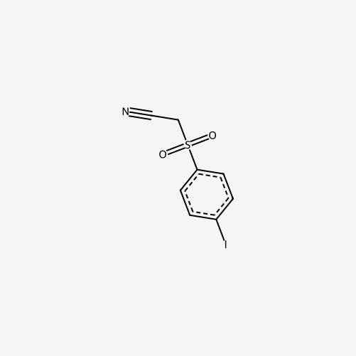 N#CCS(=O)(=O)c1ccc(I)cc1